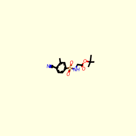 Cc1cc(S(=O)(=O)NCC(=O)OC(C)(C)C)ccc1C#N